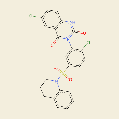 O=c1[nH]c2ccc(Cl)cc2c(=O)n1-c1cc(S(=O)(=O)N2CCCc3ccccc32)ccc1Cl